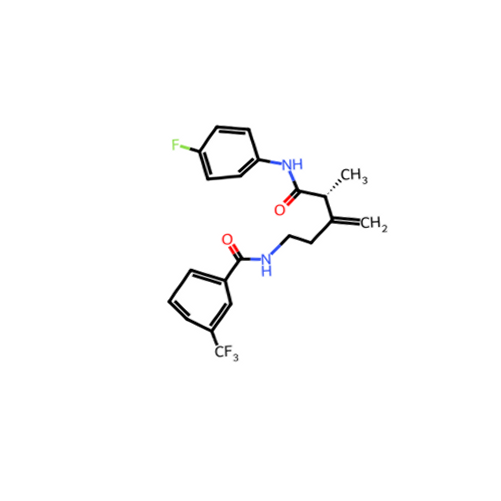 C=C(CCNC(=O)c1cccc(C(F)(F)F)c1)[C@@H](C)C(=O)Nc1ccc(F)cc1